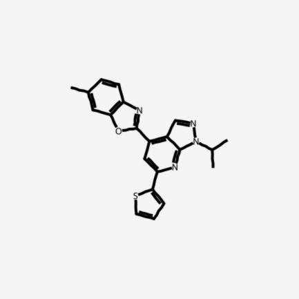 Cc1ccc2nc(-c3cc(-c4cccs4)nc4c3cnn4C(C)C)oc2c1